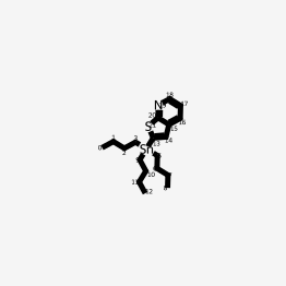 CCC[CH2][Sn]([CH2]CCC)([CH2]CCC)[c]1cc2cccnc2s1